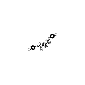 Cc1nc(NC(=O)COc2ccc(Cl)cc2)cnc1NC(=O)COc1ccc(Cl)cc1